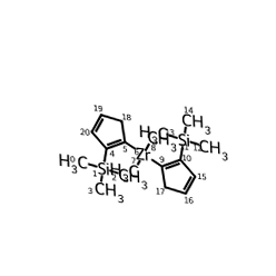 C[Si](C)(C)C1=[C]([Zr]([CH3])([CH3])[C]2=C([Si](C)(C)C)C=CC2)CC=C1